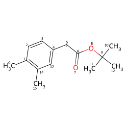 Cc1ccc([CH]C(=O)OC(C)(C)C)cc1C